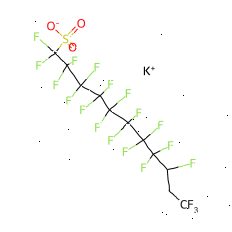 O=S(=O)([O-])C(F)(F)C(F)(F)C(F)(F)C(F)(F)C(F)(F)C(F)(F)C(F)(F)C(F)(F)C(F)CC(F)(F)F.[K+]